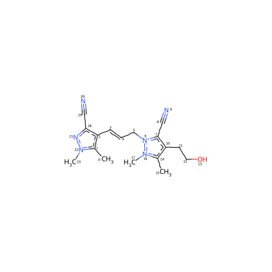 Cc1c(/C=C/C[n+]2c(C#N)c(CCO)c(C)n2C)c(C#N)nn1C